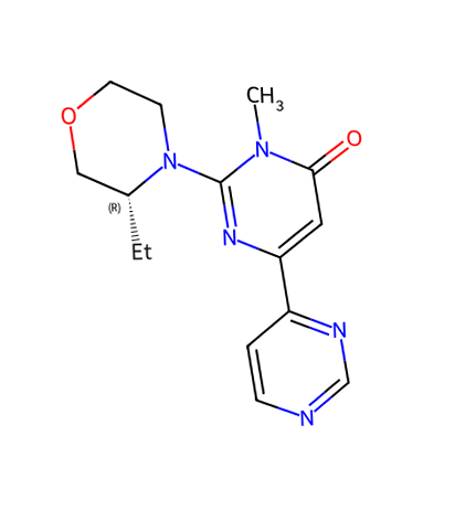 CC[C@@H]1COCCN1c1nc(-c2ccncn2)cc(=O)n1C